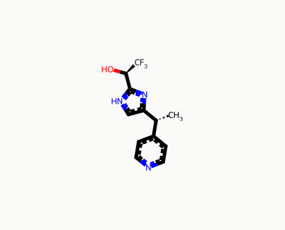 C[C@H](c1ccncc1)c1c[nH]c([C@@H](O)C(F)(F)F)n1